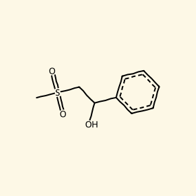 CS(=O)(=O)CC(O)c1ccccc1